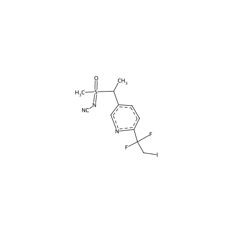 CC(c1ccc(C(F)(F)CI)nc1)S(C)(=O)=NC#N